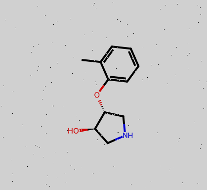 Cc1ccccc1O[C@@H]1CNC[C@H]1O